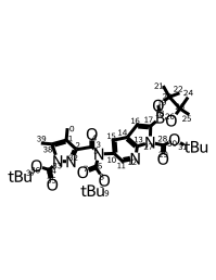 Cc1c(C(=O)N(C(=O)OC(C)(C)C)c2cnc3c(c2)cc(B2OC(C)(C)C(C)(C)O2)n3C(=O)OC(C)(C)C)nn(C(=O)OC(C)(C)C)c1C